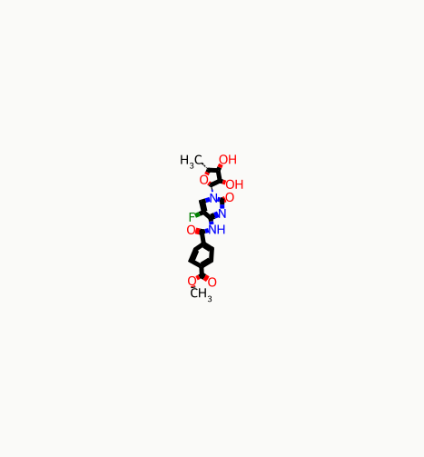 COC(=O)c1ccc(C(=O)Nc2nc(=O)n([C@@H]3O[C@H](C)C(O)C3O)cc2F)cc1